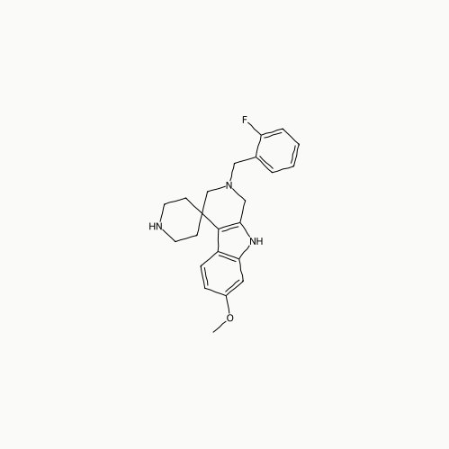 COc1ccc2c3c([nH]c2c1)CN(Cc1ccccc1F)CC31CCNCC1